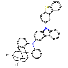 c1ccc2c(c1)N(c1ccc3c(c1)c1ccccc1n3-c1ccc3sc4ccccc4c3c1)c1ccccc1C21C2CC[C@H]3C[C@H](C2)C[C@@H]1C3